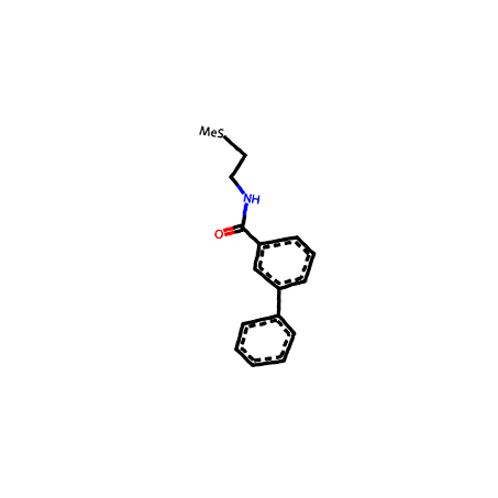 CSCCNC(=O)c1cccc(-c2ccccc2)c1